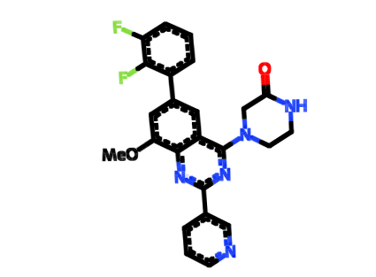 COc1cc(-c2cccc(F)c2F)cc2c(N3CCNC(=O)C3)nc(-c3cccnc3)nc12